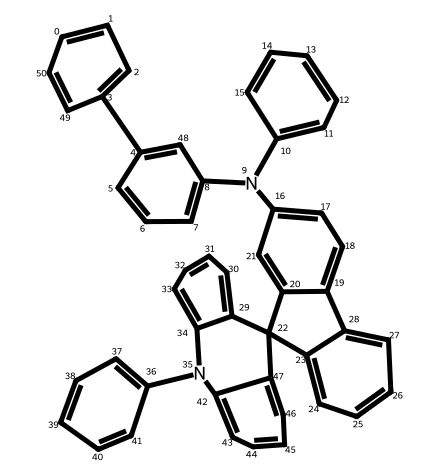 c1ccc(-c2cccc(N(c3ccccc3)c3ccc4c(c3)C3(c5ccccc5-4)c4ccccc4N(c4ccccc4)c4ccccc43)c2)cc1